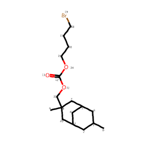 CC1CC2CC(C1)CC(C)(COC(=O)OCCCCBr)C2